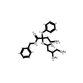 CC(=O)OCC(CC(C)OC(CCN)(Sc1ccccc1)C(=O)OCc1ccccc1)OC(C)=O